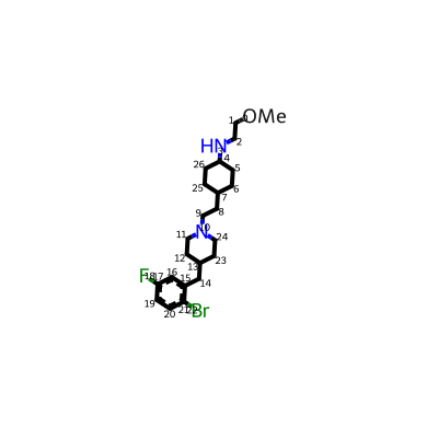 COCCNC1CCC(CCN2CCC(Cc3cc(F)ccc3Br)CC2)CC1